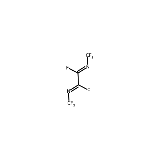 FC(=NC(F)(F)F)C(F)=NC(F)(F)F